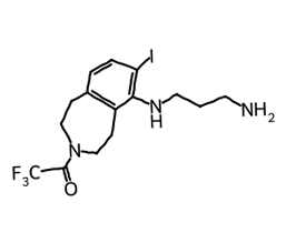 NCCCNc1c(I)ccc2c1CCN(C(=O)C(F)(F)F)CC2